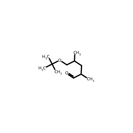 CC(C=O)CC(C)COC(C)(C)C